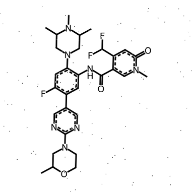 CC1CN(c2ncc(-c3cc(NC(=O)c4cn(C)c(=O)cc4C(F)F)c(N4CC(C)N(C)C(C)C4)cc3F)cn2)CCO1